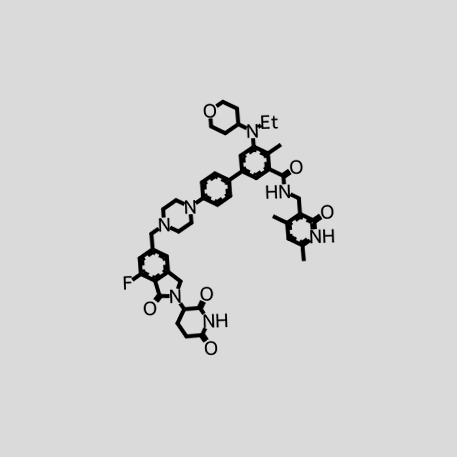 CCN(c1cc(-c2ccc(N3CCN(Cc4cc(F)c5c(c4)CN(C4CCC(=O)NC4=O)C5=O)CC3)cc2)cc(C(=O)NCc2c(C)cc(C)[nH]c2=O)c1C)C1CCOCC1